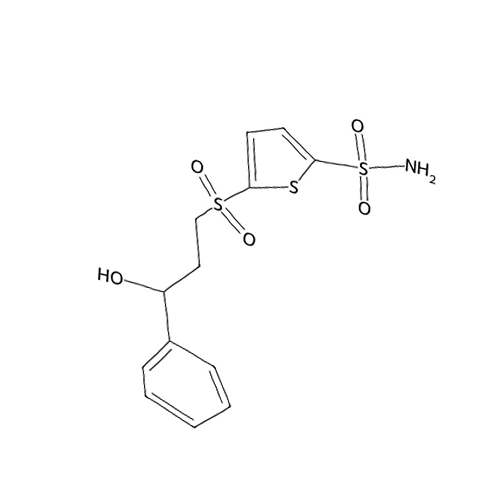 NS(=O)(=O)c1ccc(S(=O)(=O)CCC(O)c2ccccc2)s1